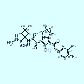 CNC(O)C1(NC(=O)C(=O)c2c(C)c(C(=O)Nc3ccc(F)c(F)c3)c3n2C[C@@H]2C[C@H]32)CC(F)(F)C1